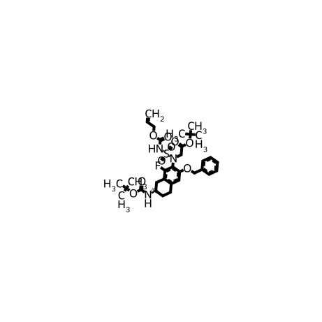 C=CCOC(=O)NS(=O)(=O)N(CC(=O)OC(C)(C)C)c1c(OCc2ccccc2)cc2c(c1F)C[C@H](NC(=O)OC(C)(C)C)CC2